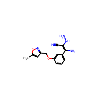 Cc1cc(COc2cccc(/C(N)=C(\C#N)NN)c2)no1